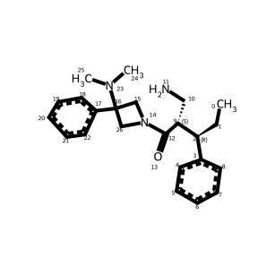 CC[C@@H](c1ccccc1)[C@@H](CN)C(=O)N1CC(c2ccccc2)(N(C)C)C1